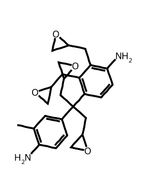 Cc1cc(C(CC2CO2)(CC2CO2)c2ccc(N)c(CC3CO3)c2CC2CO2)ccc1N